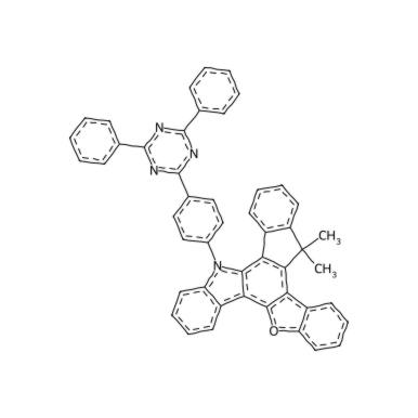 CC1(C)c2ccccc2-c2c1c1c3ccccc3oc1c1c3ccccc3n(-c3ccc(-c4nc(-c5ccccc5)nc(-c5ccccc5)n4)cc3)c21